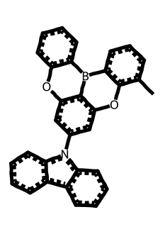 Cc1cccc2c1Oc1cc(-n3c4ccccc4c4ccccc43)cc3c1B2c1ccccc1O3